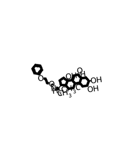 C/C(=N/OCCOc1ccccc1)[C@H]1CC[C@@]2(O)C3=CC(=O)[C@@H]4C[C@@H](O)[C@@H](O)C[C@]4(C)C3CC[C@]12C